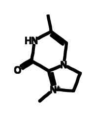 CC1=CN2CC[N+](C)=C2C(=O)N1